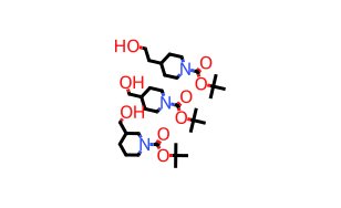 CC(C)(C)OC(=O)N1CCC(CCO)CC1.CC(C)(C)OC(=O)N1CCC(CO)CC1.CC(C)(C)OC(=O)N1CCCC(CO)C1